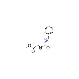 COC(=O)CN(C)C(=O)/C=C/c1ccccc1